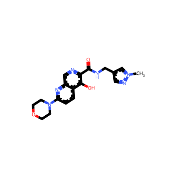 Cn1cc(CNC(=O)c2ncc3nc(N4CCOCC4)ccc3c2O)cn1